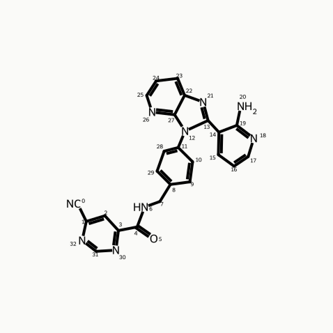 N#Cc1cc(C(=O)NCc2ccc(-n3c(-c4cccnc4N)nc4cccnc43)cc2)ncn1